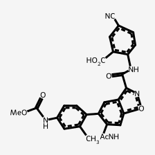 COC(=O)Nc1ccc(-c2cc3c(C(=O)Nc4ccc(C#N)cc4C(=O)O)noc3cc2NC(C)=O)c(C)c1